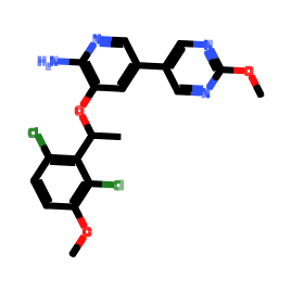 COc1ncc(-c2cnc(N)c(OC(C)c3c(Cl)ccc(OC)c3Cl)c2)cn1